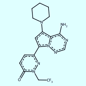 Nc1ncnn2c(-c3ccc(=O)n(CC(F)(F)F)n3)cc(N3CCCCC3)c12